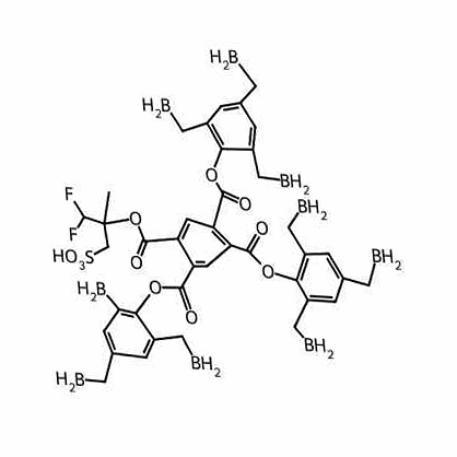 BCc1cc(B)c(OC(=O)c2cc(C(=O)Oc3c(CB)cc(CB)cc3CB)c(C(=O)Oc3c(CB)cc(CB)cc3CB)cc2C(=O)OC(C)(CS(=O)(=O)O)C(F)F)c(CB)c1